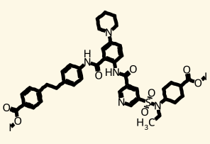 CCN(C1CCC(C(=O)OI)CC1)S(=O)(=O)c1cncc(C(=O)Nc2ccc(N3CCCCC3)cc2C(=O)Nc2ccc(CCc3ccc(C(=O)OI)cc3)cc2)c1